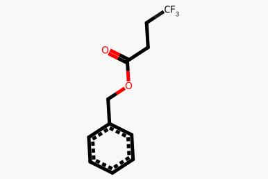 O=C(CCC(F)(F)F)OCc1ccccc1